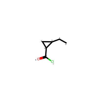 CCC1CC1C(=O)Cl